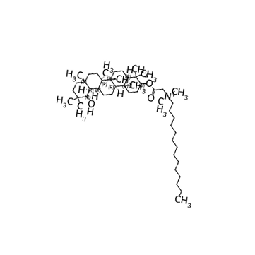 CCCCCCCCCCCCCC[N+](C)(C)CC(=O)O[C@H]1CC[C@]2(C)[C@H]3CC[C@@H]4[C@H]5[C@@H](O)C(C)(C)CC[C@]5(C)CC[C@@]4(C)[C@]3(C)CC[C@H]2C1(C)C